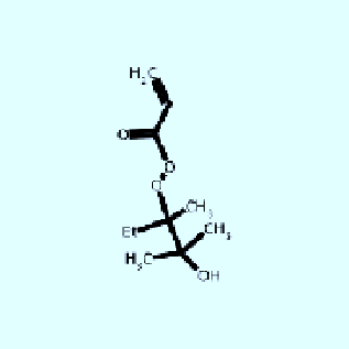 C=CC(=O)OOC(C)(CC)C(C)(C)O